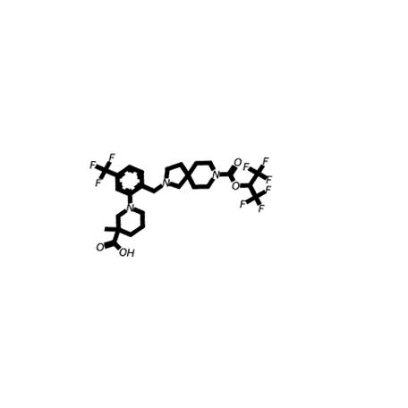 CC1(C(=O)O)CCCN(c2cc(C(F)(F)F)ccc2CN2CCC3(CCN(C(=O)OC(C(F)(F)F)C(F)(F)F)CC3)C2)C1